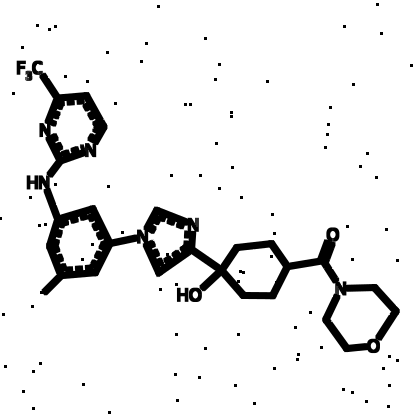 Cc1cc(Nc2nccc(C(F)(F)F)n2)cc(-n2cnc(C3(O)CCC(C(=O)N4CCOCC4)CC3)c2)c1